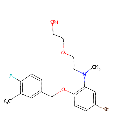 CN(CCOCCO)c1cc(Br)ccc1OCc1ccc(F)c(C(F)(F)F)c1